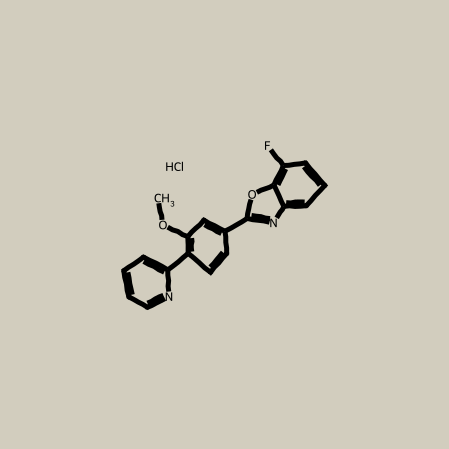 COc1cc(-c2nc3cccc(F)c3o2)ccc1-c1ccccn1.Cl